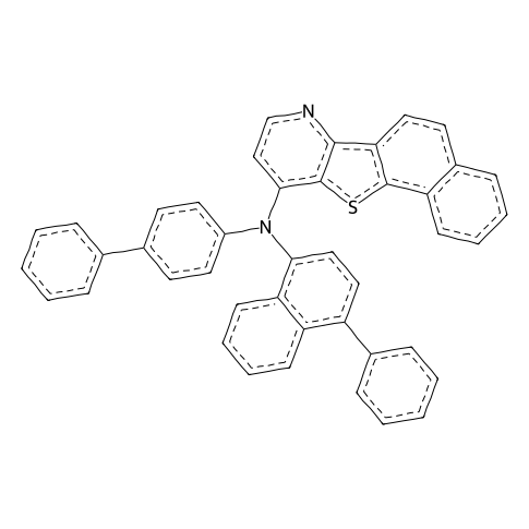 c1ccc(-c2ccc(N(c3ccc(-c4ccccc4)c4ccccc34)c3ccnc4c3sc3c5ccccc5ccc43)cc2)cc1